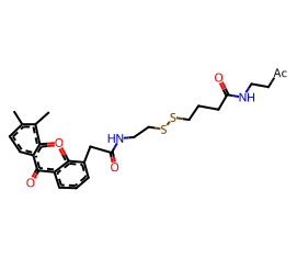 CC(=O)CCNC(=O)CCCSSCCNC(=O)Cc1cccc2c(=O)c3ccc(C)c(C)c3oc12